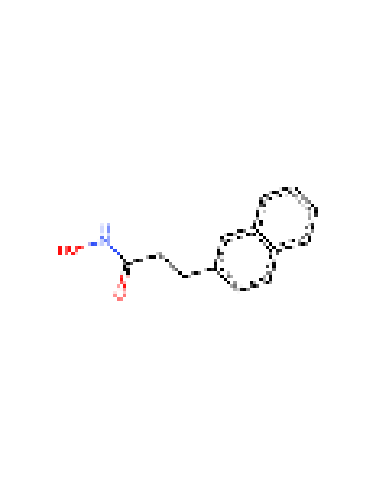 O=C(CCc1ccc2ccccc2c1)NO